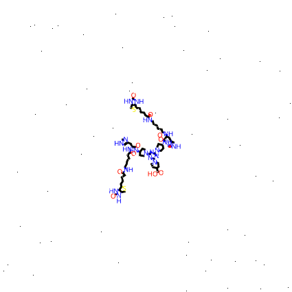 O=C(CCCCC1SCC2NC(=O)NC21)NCCCCCC(=O)NC(Cc1c[nH]cn1)C(=O)NC1CCN(c2nc(N3CCC(NC(=O)C(Cc4c[nH]cn4)NC(=O)CCCCCNC(=O)CCCCC4SCC5NC(=O)NC54)CC3)nc(N3CCC(C(=O)O)CC3)n2)CC1